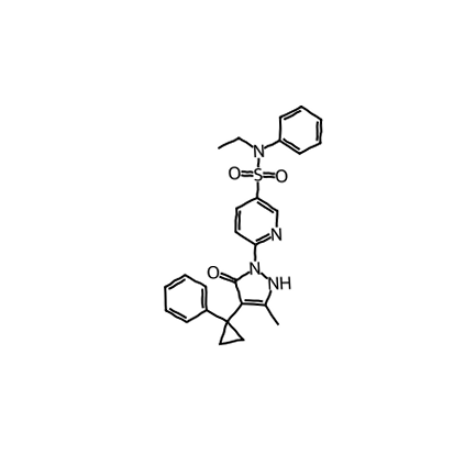 CCN(c1ccccc1)S(=O)(=O)c1ccc(-n2[nH]c(C)c(C3(c4ccccc4)CC3)c2=O)nc1